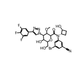 COC1C(C(=O)N(c2cc(Br)cc(C#N)c2)[C@H]2CC[C@@H]2O)OC(CO)C(O)C1n1cc(-c2cc(F)c(F)c(F)c2)nn1